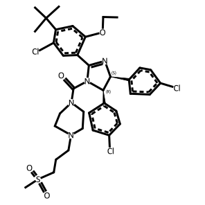 CCOc1cc(C(C)(C)C)c(Cl)cc1C1=N[C@@H](c2ccc(Cl)cc2)[C@@H](c2ccc(Cl)cc2)N1C(=O)N1CCN(CCCS(C)(=O)=O)CC1